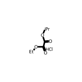 CCOC(=O)C(=O)OC(C)C.Cl